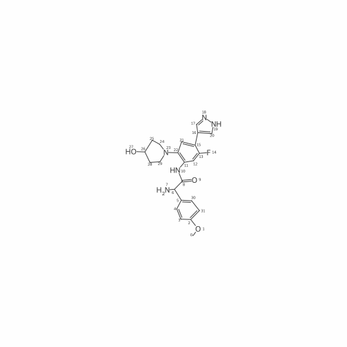 COc1ccc(C(N)C(=O)Nc2cc(F)c(-c3cn[nH]c3)cc2N2CCC(O)CC2)cc1